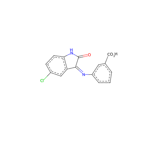 O=C1Nc2ccc(Cl)cc2/C1=N/c1cccc(C(=O)O)c1